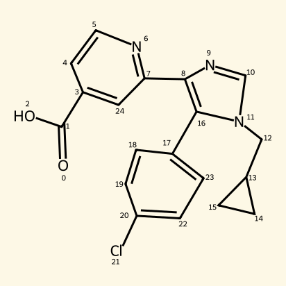 O=C(O)c1ccnc(-c2ncn(CC3CC3)c2-c2ccc(Cl)cc2)c1